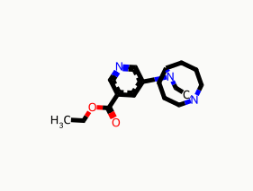 CCOC(=O)c1cncc(N2CCN3CCCC2CCC3)c1